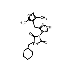 Cc1noc(C)c1Cc1n[nH]cc1N1C(=O)NC(CC2CCCCC2)C1=O